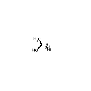 CCO.I.[SrH2]